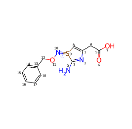 NC1=NC(CC(=O)O)=C/S1=N/OCc1ccccc1